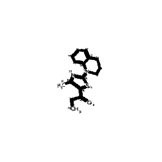 CCC(=O)c1sc(N2CCCc3ccccc32)nc1C